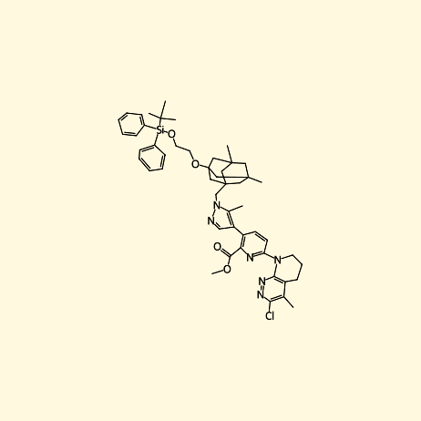 COC(=O)c1nc(N2CCCc3c2nnc(Cl)c3C)ccc1-c1cnn(CC23CC4(C)CC(C)(C2)CC(OCCO[Si](c2ccccc2)(c2ccccc2)C(C)(C)C)(C4)C3)c1C